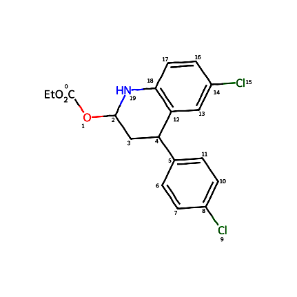 CCOC(=O)OC1CC(c2ccc(Cl)cc2)c2cc(Cl)ccc2N1